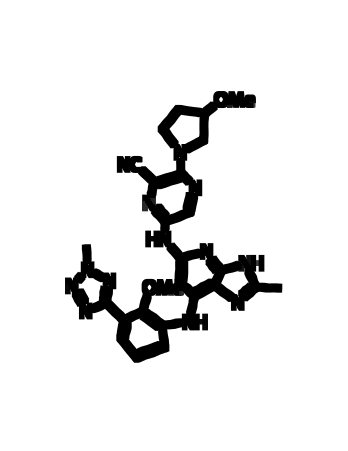 COc1c(Nc2cc(Nc3cnc(N4CCC(OC)C4)c(C#N)n3)nc3[nH]c(C)nc23)cccc1-c1nnn(C)n1